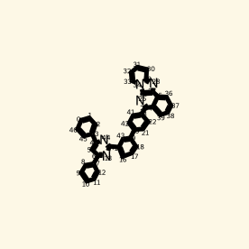 c1ccc(-c2cc(-c3ccccc3)nc(-c3cccc(-c4ccc(-c5nc6c(nc7ccccn76)c6ccccc56)cc4)c3)n2)cc1